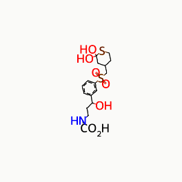 O=C(O)NCCC(O)c1cccc(S(=O)(=O)CC2CCSC(O)(O)C2)c1